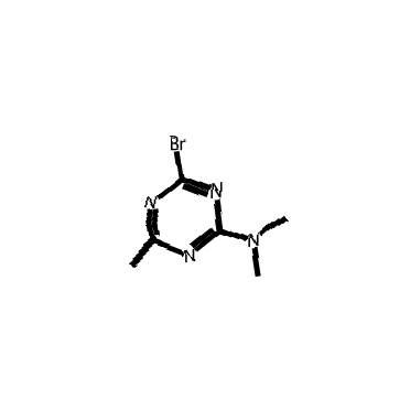 Cc1nc(Br)nc(N(C)C)n1